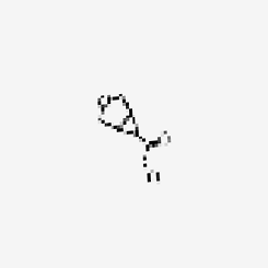 O=C(CCl)C1C2COCC21